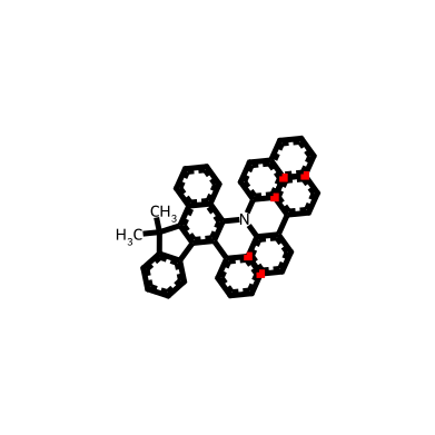 CC1(C)c2ccccc2-c2c(-c3ccccc3)c(N(c3ccc4ccccc4c3)c3ccccc3-c3ccccc3)c3ccccc3c21